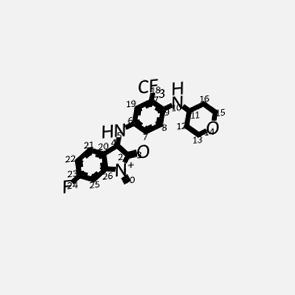 C=[N+]1C(=O)C(Nc2ccc(NC3CCOCC3)c(C(F)(F)F)c2)c2ccc(F)cc21